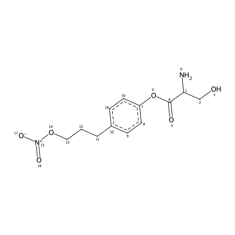 NC(CO)C(=O)Oc1ccc(CCCO[N+](=O)[O-])cc1